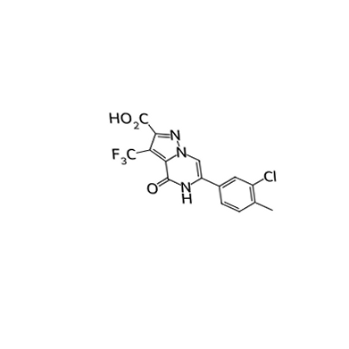 Cc1ccc(-c2cn3nc(C(=O)O)c(C(F)(F)F)c3c(=O)[nH]2)cc1Cl